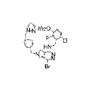 COc1ccc(Cl)c(CNc2nnc(Br)c3cn(Cc4ccc(Cn5cccn5)cc4)cc23)c1F